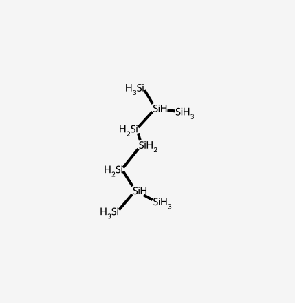 [SiH3][SiH]([SiH3])[SiH2][SiH2][SiH2][SiH]([SiH3])[SiH3]